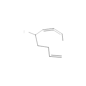 C=CCCC(C=C=CC)C(C)C